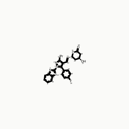 CC(C)c1nn(-c2nc3ccccc3s2)c(-c2ccc(F)cc2)c1/C=C/[C@H]1C[C@H](O)CC(=O)O1